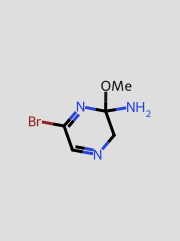 COC1(N)CN=CC(Br)=N1